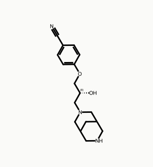 N#Cc1ccc(OC[C@H](O)CN2CC3CNCC(C3)C2)cc1